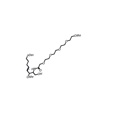 CCCCCCCCCCCCC/C=C/C(OC)C(CO)NC(=O)COCCOCCOCCOCCOC